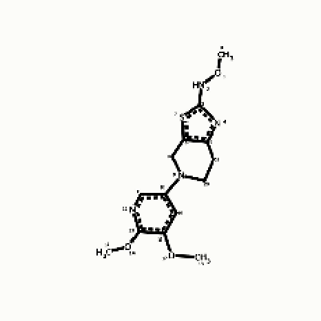 CONc1nc2c(s1)CN(c1cnc(OC)c(OC)c1)CC2